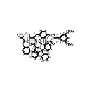 COC(=O)C(Cc1ccccc1)NC(=O)C(Cc1ccc(O)cc1)NC(=O)C(CS)N(C(=O)CNC(=O)OC(C)(C)c1cc(OC)cc(OC)c1)C(c1ccccc1)(c1ccccc1)c1ccccc1